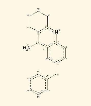 Nc1c2c(nc3ccc(Cc4ccccc4)cc13)CCCC2